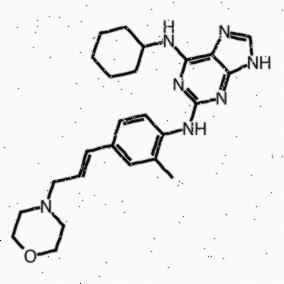 Cc1cc(/C=C/CN2CCOCC2)ccc1Nc1nc(NC2CCCCC2)c2nc[nH]c2n1